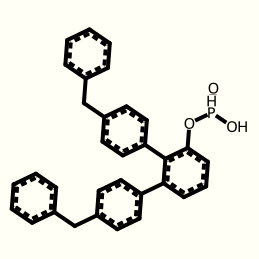 O=[PH](O)Oc1cccc(-c2ccc(Cc3ccccc3)cc2)c1-c1ccc(Cc2ccccc2)cc1